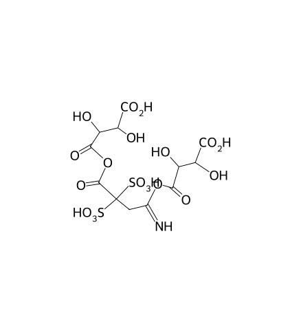 N=C(CC(C(=O)OC(=O)C(O)C(O)C(=O)O)(S(=O)(=O)O)S(=O)(=O)O)OC(=O)C(O)C(O)C(=O)O